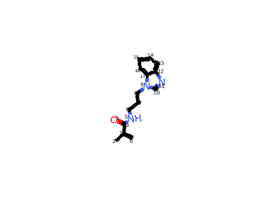 C=C(C)C(=O)NCCCn1cnc2ccccc21